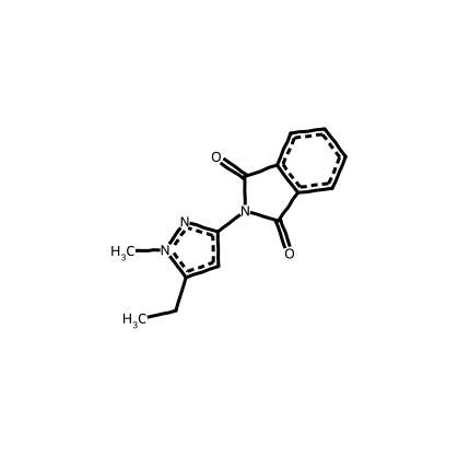 CCc1cc(N2C(=O)c3ccccc3C2=O)nn1C